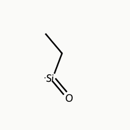 CC[Si]=O